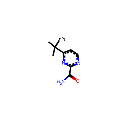 CCCC(C)(C)c1ccnc(C(N)=O)n1